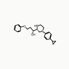 O[C@@H](CCOc1cc[c]cc1)[C@@H]1CN(c2ccc(C3CC3)cc2)CCN1